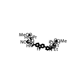 CC[C@@H](c1nc2ccc(-c3ccc4c(c3)C(F)(F)c3cc(-c5c[nH]c([C@@H]6C[C@H](C#N)CN6C(=O)[C@@H](NC(=O)OC)C(C)C)n5)ccc3-4)cc2[nH]1)N(CC)C(=O)[C@@H](NC(=O)OC)C(C)C